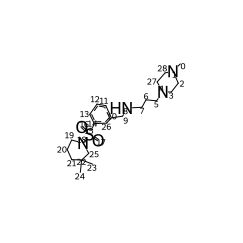 CN1CCN(CCCNCc2cccc(S(=O)(=O)N3CCCC(C)(C)C3)c2)CC1